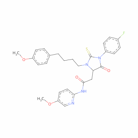 COc1ccc(CCCCN2C(=S)N(c3ccc(F)cc3)C(=O)C2CC(=O)Nc2ccc(OC)cn2)cc1